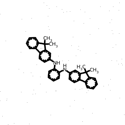 CC1(C)c2ccccc2-c2ccc(Nc3ccccc3Nc3ccc4c(c3)C(C)(C)c3ccccc3-4)cc21